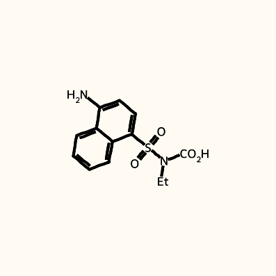 CCN(C(=O)O)S(=O)(=O)c1ccc(N)c2ccccc12